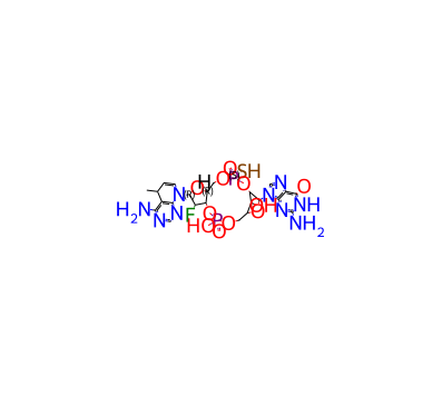 CC1C=CN([C@@H]2O[C@@H]3CO[P@](=O)(S)OC4C(O)C(COP(=O)(O)OC3C2F)OC4n2cnc3c(=O)[nH]c(N)nc32)c2ncnc(N)c21